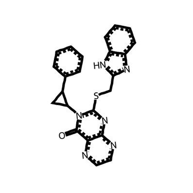 O=c1c2nccnc2nc(SCc2nc3ccccc3[nH]2)n1C1CC1c1ccccc1